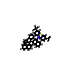 CC(C)c1ccc(N(c2ccc([Si](C)(C)C)cc2)c2cc3c(c4ccccc24)-c2ccc4ccccc4c2C32c3ccccc3-c3ccccc32)cc1